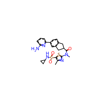 Cc1nc(N(C)C(=O)C2Cc3ccc(-c4cccc(N)n4)cc3C2)sc1S(=O)(=O)NC1CC1